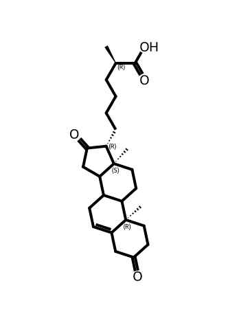 C[C@H](CCCC[C@H]1C(=O)CC2C3CC=C4CC(=O)CC[C@]4(C)C3CC[C@@]21C)C(=O)O